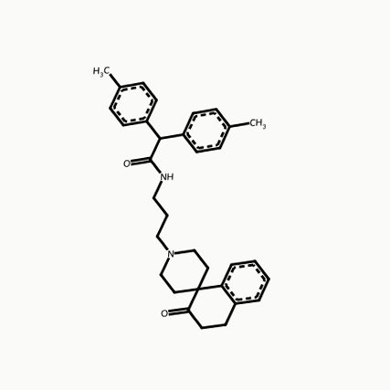 Cc1ccc(C(C(=O)NCCCN2CCC3(CC2)C(=O)CCc2ccccc23)c2ccc(C)cc2)cc1